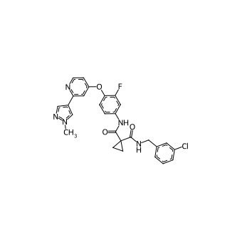 Cn1cc(-c2cc(Oc3ccc(NC(=O)C4(C(=O)NCc5cccc(Cl)c5)CC4)cc3F)ccn2)cn1